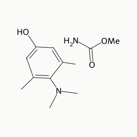 COC(N)=O.Cc1cc(O)cc(C)c1N(C)C